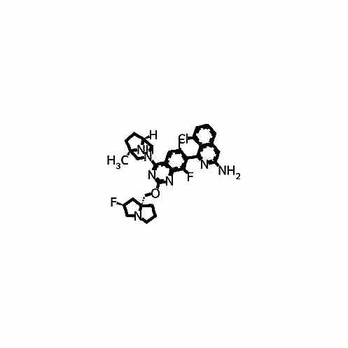 C[C@]12CC[C@H](CN(c3nc(OC[C@]45CCCN4C[C@@H](F)C5)nc4c(F)c(-c5nc(N)cc6cccc(Cl)c56)c(F)cc34)C1)N2